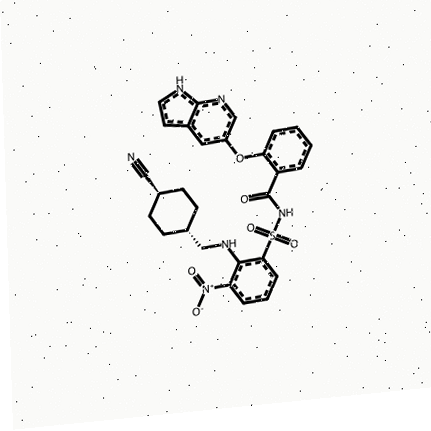 N#C[C@H]1CC[C@H](CNc2c([N+](=O)[O-])cccc2S(=O)(=O)NC(=O)c2ccccc2Oc2cnc3[nH]ccc3c2)CC1